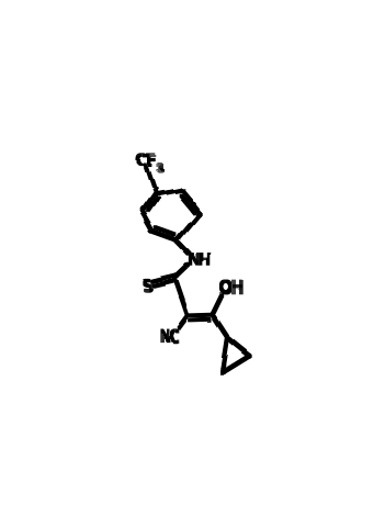 N#CC(C(=S)Nc1ccc(C(F)(F)F)cc1)=C(O)C1CC1